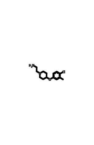 Cc1cc(OC2CCN(CCN)CC2)ccc1Cl